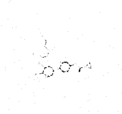 CN(CCF)CC(C=O)Nc1cc(-c2cnc(NC(=O)C3CC3)cn2)cnc1C#N